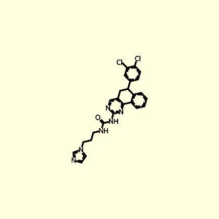 O=C(NCCCn1ccnc1)Nc1ncc2c(n1)-c1ccccc1C(c1ccc(Cl)c(Cl)c1)C2